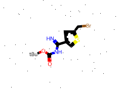 CC(C)(C)OC(=O)NC(=N)c1csc(CBr)c1